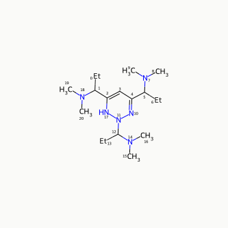 CCC(C1=CC(C(CC)N(C)C)=NN(C(CC)N(C)C)N1)N(C)C